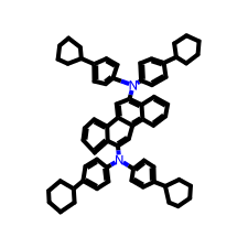 c1ccc2c(c1)c(N(c1ccc(C3CCCCC3)cc1)c1ccc(C3CCCCC3)cc1)cc1c3ccccc3c(N(c3ccc(C4CCCCC4)cc3)c3ccc(C4CCCCC4)cc3)cc21